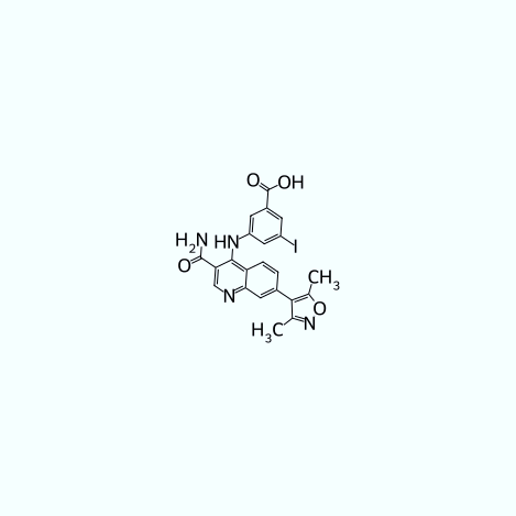 Cc1noc(C)c1-c1ccc2c(Nc3cc(I)cc(C(=O)O)c3)c(C(N)=O)cnc2c1